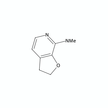 CNc1nccc2c1OCC2